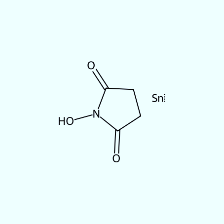 O=C1CCC(=O)N1O.[Sn]